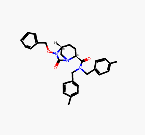 Cc1ccc(CN(Cc2ccc(C)cc2)C(=O)[C@@H]2CC[C@@H]3CN2C(=O)N3OCc2ccccc2)cc1